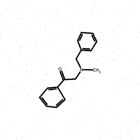 CN(CC(=O)c1ccccc1)Cc1ccccc1